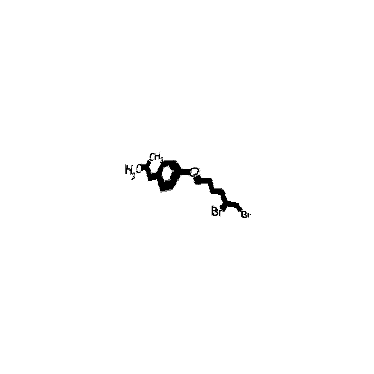 C[C](C)Cc1ccc(OCCCCC(Br)CBr)cc1